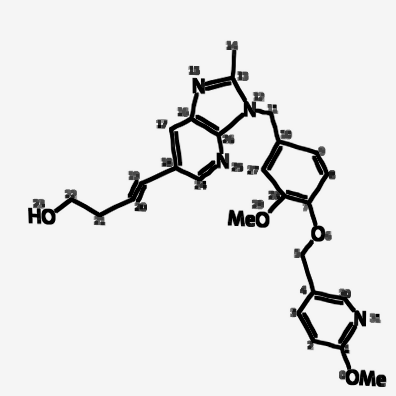 COc1ccc(COc2ccc(Cn3c(C)nc4cc(C#CCCO)cnc43)cc2OC)cn1